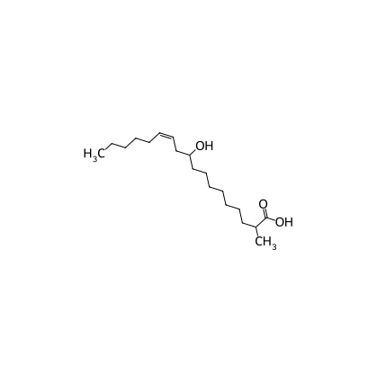 CCCCC/C=C\CC(O)CCCCCCCC(C)C(=O)O